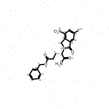 NC(=O)[C@H](CCC(=O)OCc1ccccc1)N1Cc2c(cc(F)cc2[N+](=O)[O-])C1=O